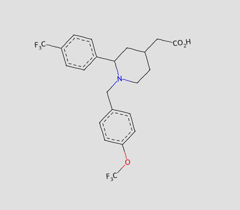 O=C(O)CC1CCN(Cc2ccc(OC(F)(F)F)cc2)C(c2ccc(C(F)(F)F)cc2)C1